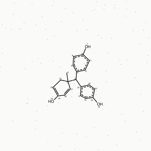 CC1(C(c2ccc(O)cc2)c2ccc(O)cc2)C=CC(O)=CC1